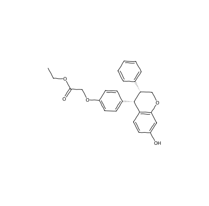 CCOC(=O)COc1ccc([C@H]2c3ccc(O)cc3OC[C@H]2c2ccccc2)cc1